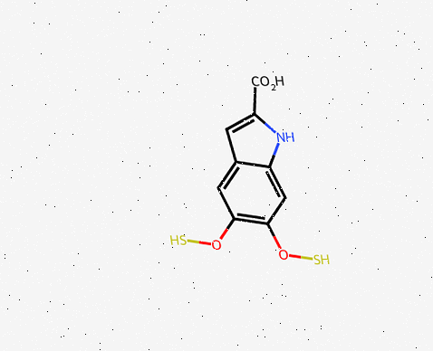 O=C(O)c1cc2cc(OS)c(OS)cc2[nH]1